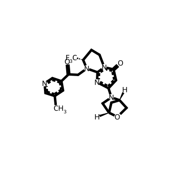 Cc1cncc(C(=O)CN2c3nc(N4C[C@@H]5C[C@H]4CO5)cc(=O)n3CC[C@H]2C(F)(F)F)c1